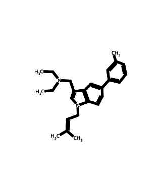 CCN(CC)Cc1cn(CC=C(C)C)c2ccc(-c3cccc(C)c3)cc12